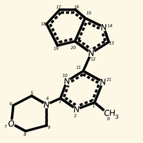 Cc1nc(N2CCOCC2)nc(-n2cnc3ccccc32)n1